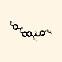 CCc1ccc(C(=O)Oc2ccc3cc([C@H](C)C(=O)Oc4ccc(N=C=S)cc4)ccc3c2)cc1